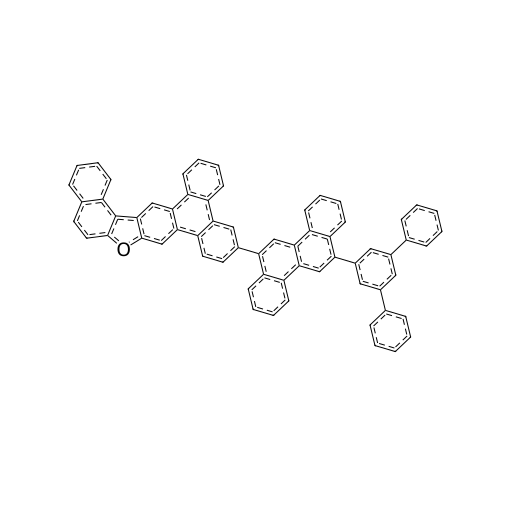 c1ccc(-c2cc(-c3ccccc3)cc(-c3cc4c5ccccc5c(-c5ccc6c(c5)c5ccccc5c5cc7c(cc65)oc5ccc6ccccc6c57)cc4c4ccccc34)c2)cc1